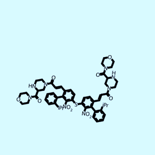 CC(C)c1ccccc1-c1c(/C=C/C(=O)N2CCNC(C(=O)N3CCOCC3)C2)ccc(Sc2ccc(/C=C/C(=O)N3CCNC(C(=O)N4CCOCC4)C3)c(-c3ccccc3C(C)C)c2[N+](=O)[O-])c1[N+](=O)[O-]